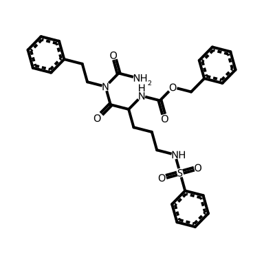 NC(=O)N(CCc1ccccc1)C(=O)C(CCCNS(=O)(=O)c1ccccc1)NC(=O)OCc1ccccc1